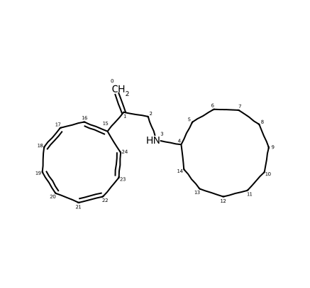 C=C(CNC1CCCCCCCCCC1)c1ccccccccc1